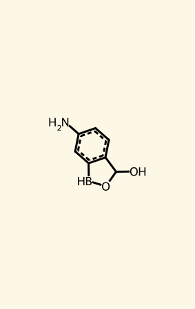 Nc1ccc2c(c1)BOC2O